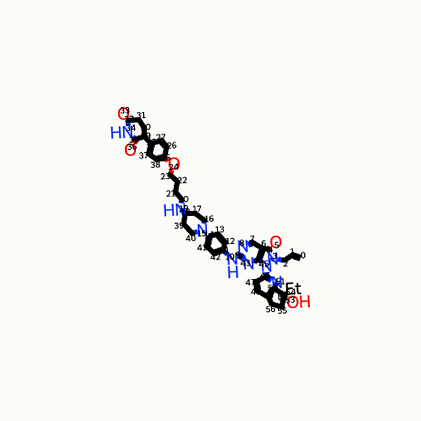 C=CCn1c(=O)c2cnc(Nc3ccc(N4CCC(NCCCCOc5ccc(C6CCC(=O)NC6=O)cc5)CC4)cc3)nc2n1-c1ccc2c(n1)[C@@](O)(CC)CC2